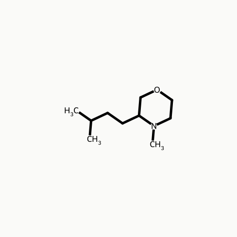 CC(C)CCC1COCCN1C